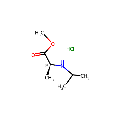 COC(=O)[C@H](C)NC(C)C.Cl